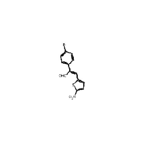 O=CC(=Cc1ccc([N+](=O)[O-])s1)c1ccc(Br)cc1